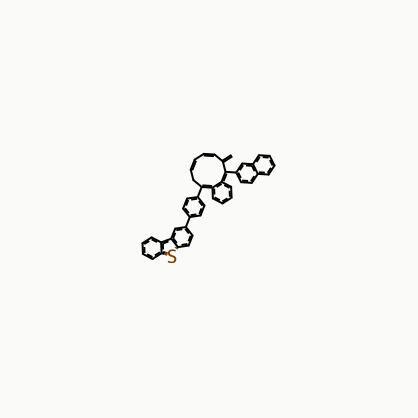 C=C1/C=C\C=C/C/C(c2ccc(-c3ccc4sc5ccccc5c4c3)cc2)=c2/cccc/c2=C/1c1ccc2ccccc2c1